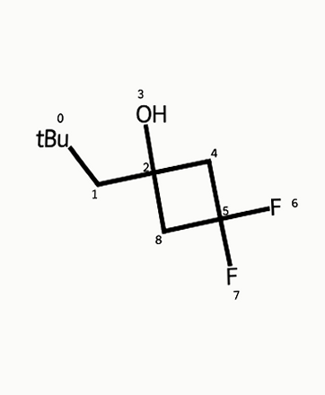 CC(C)(C)CC1(O)CC(F)(F)C1